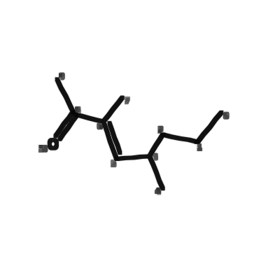 CCCC(C)/C=C(\C)C(C)=O